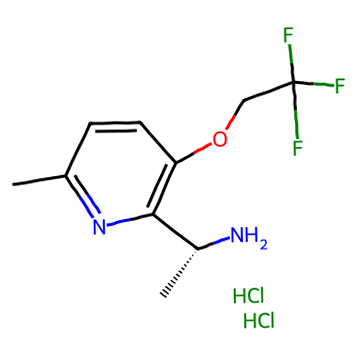 Cc1ccc(OCC(F)(F)F)c([C@@H](C)N)n1.Cl.Cl